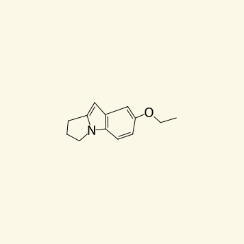 CCOc1ccc2c(c1)cc1n2CCC1